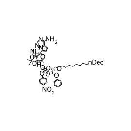 CCCCCCCCCCCCCCCCCCOC[C@H](COc1ccccc1)OP(=O)(OC[C@H]1O[C@@](C#N)(c2ccc3c(N)ncnn23)[C@@H]2OC(C)(C)O[C@@H]21)Oc1ccc([N+](=O)[O-])cc1